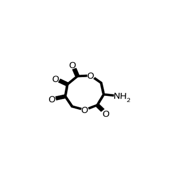 NC1COC(=O)C(=O)C(=O)COC1=O